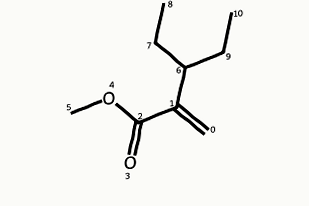 C=C(C(=O)OC)C(CC)CC